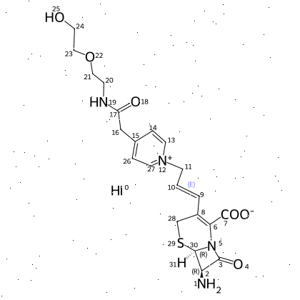 I.N[C@@H]1C(=O)N2C(C(=O)[O-])=C(/C=C/C[n+]3ccc(CC(=O)NCCOCCO)cc3)CS[C@H]12